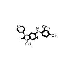 Cc1cc(O)ccc1Nc1cc2c(cn1)n(C)c(=O)n2C1CCOCC1